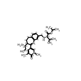 Cc1cc(C2=Nc3cc(CN[C@H](C(=O)OC(C)C)C(C)C)ccc3CCC2[C@@H](C)CO)cn(C)c1=O